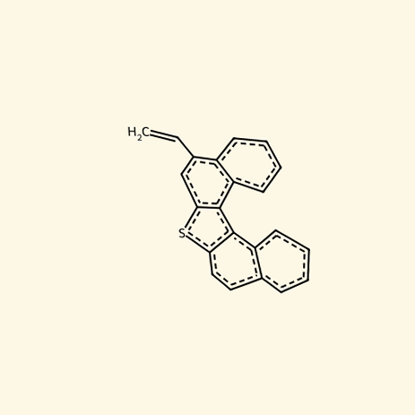 C=Cc1cc2sc3ccc4ccccc4c3c2c2ccccc12